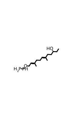 CC[C@H](O)CC/C(C)=C/CC/C(C)=C/COPP